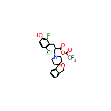 O=C(OC(=O)C(F)(F)F)C(Cc1c(Cl)ccc(O)c1F)CN1CCC2(CC1)OCc1ccccc12